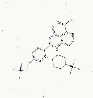 CC(=O)c1nccc2[nH]c(-c3ccc(C4CC(F)(F)C4)cc3[C@H]3CC[C@H](C(F)(F)F)CC3)cc(=O)c12